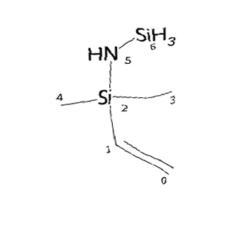 C=C[Si](C)(C)N[SiH3]